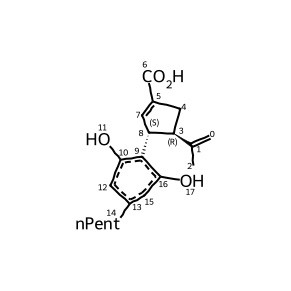 C=C(C)[C@@H]1CC(C(=O)O)=C[C@H]1c1c(O)cc(CCCCC)cc1O